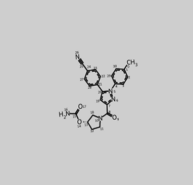 Cc1ccc(-n2nc(C(=O)N3CC[C@H](OC(N)=O)C3)cc2-c2ccc(C#N)cc2)cc1